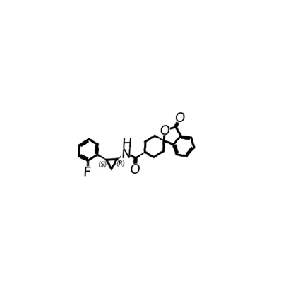 O=C1O[C@]2(CC[C@H](C(=O)N[C@@H]3C[C@H]3c3ccccc3F)CC2)c2ccccc21